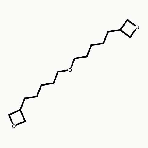 C(CCOCCCCCC1COC1)CCC1COC1